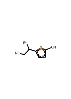 CC(C)C(CC#N)c1ccc(C#N)s1